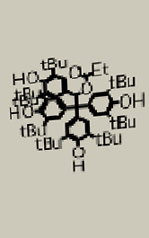 CCC(=O)OC(c1cc(C(C)(C)C)c(O)c(C(C)(C)C)c1)C(c1cc(C(C)(C)C)c(O)c(C(C)(C)C)c1)(c1cc(C(C)(C)C)c(O)c(C(C)(C)C)c1)c1cc(C(C)(C)C)c(O)c(C(C)(C)C)c1